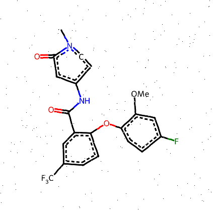 [CH2]n1ccc(NC(=O)c2cc(C(F)(F)F)ccc2Oc2ccc(F)cc2OC)cc1=O